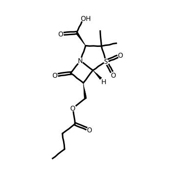 CCCC(=O)OC[C@H]1C(=O)N2[C@@H](C(=O)O)C(C)(C)S(=O)(=O)[C@H]12